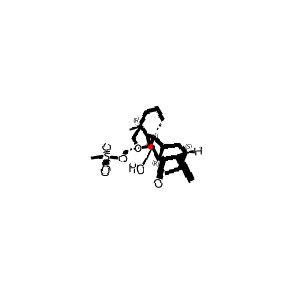 C=C1C(=O)[C@]23CC[C@H]1CC2[C@@]12CCC[C@@](C)(COC1)C2[C@H](COS(C)(=O)=O)[C@H]3O